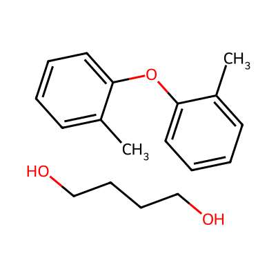 Cc1ccccc1Oc1ccccc1C.OCCCCO